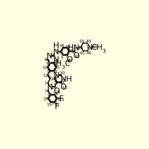 COc1cc(Nc2ncc3cc(/C=C/CN(Cc4ccc(F)c(F)c4)C(=O)c4cnc[nH]c4=O)ccc3n2)ccc1C(=O)NC1CCN(C)CC1